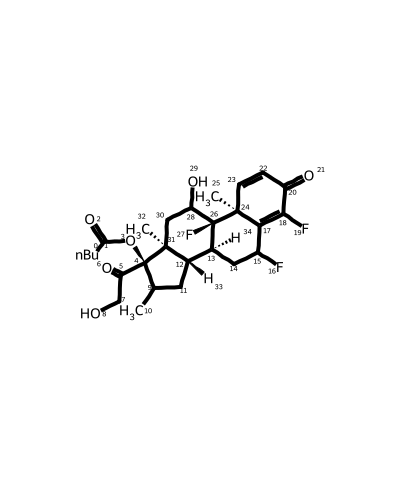 CCCCC(=O)O[C@]1(C(=O)CO)C(C)C[C@H]2[C@@H]3CC(F)C4=C(F)C(=O)C=C[C@]4(C)[C@@]3(F)C(O)C[C@@]21C